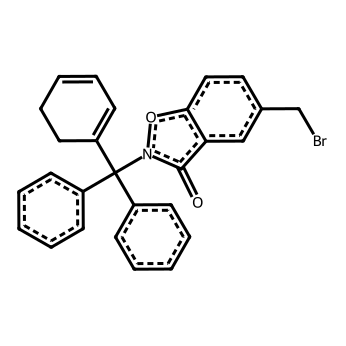 O=c1c2cc(CBr)ccc2on1C(C1=CC=CCC1)(c1ccccc1)c1ccccc1